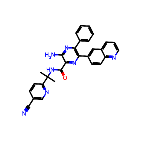 CC(C)(NC(=O)c1nc(-c2ccc3ncccc3c2)c(-c2ccccc2)nc1N)c1ccc(C#N)cn1